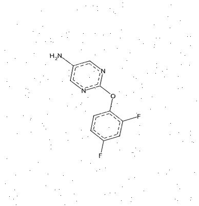 Nc1cnc(Oc2ccc(F)cc2F)nc1